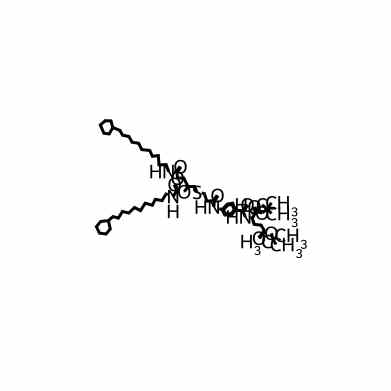 CC(C)(C)OC(=O)CCC(NC(=O)c1ccc(NC(=O)CCSCC(COC(=O)NCCCCCCCCCCCC2CCCCC2)OC(=O)NCCCCCCCCCCCC2CCCCC2)cc1)C(=O)OC(C)(C)C